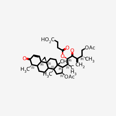 C=C(C(=O)[C@H](OC(=O)CCC(=O)O)[C@@H](C)[C@H]1[C@@H](OC(C)=O)C[C@@]2(C)C3CCC4[C@H](C)C(=O)C=C[C@@]45C[C@@]35CC[C@]12C)[C@@H](C)COC(C)=O